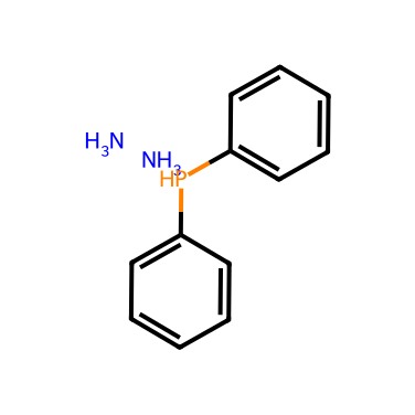 N.N.c1ccc(Pc2ccccc2)cc1